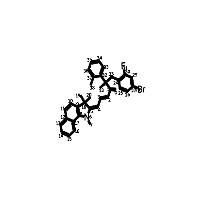 C=C(/C=C/C=C1/N(C)c2c(ccc3ccccc23)C1(C)C)C(C)(Cc1ccc(Br)cc1F)c1ccccc1C